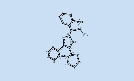 Cc1[nH]c2ccccc2c1-c1nc2c3cccnc3c3ncccc3c2[nH]1